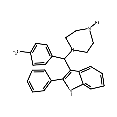 CCN1CCN(C(c2ccc(C(F)(F)F)cc2)c2c(-c3ccccc3)[nH]c3ccccc23)CC1